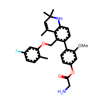 COc1cc(OC(=O)CN)ccc1-c1ccc2c(c1COc1cc(F)ccc1C)C(C)=CC(C)(C)N2